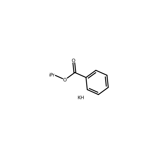 CC(C)OC(=O)c1ccccc1.[KH]